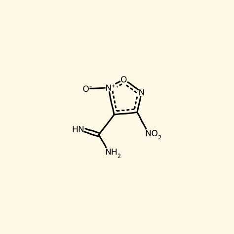 N=C(N)c1c([N+](=O)[O-])no[n+]1[O-]